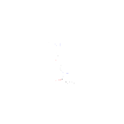 CCNCCOCCNC(=O)NC